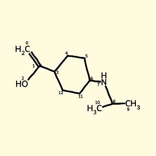 C=C(O)C1CCC(NC(C)C)CC1